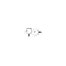 C=C.CC(=O)O.O=C1CCCN1